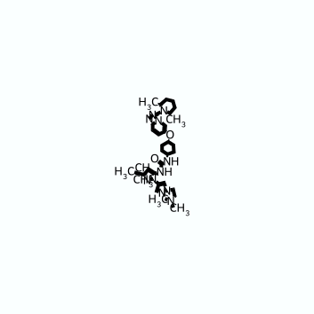 C[C@@H]1CCC[C@H](C)N1c1nnc2ccc(O[C@H]3CC[C@H](NC(=O)Nc4cc(C(C)(C)C)nn4-c4cnn(CCN(C)C)c4)CC3)cn12